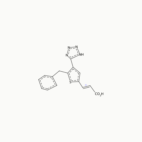 O=C(O)/C=C/c1cc(-c2nnn[nH]2)c(Cc2ccccc2)s1